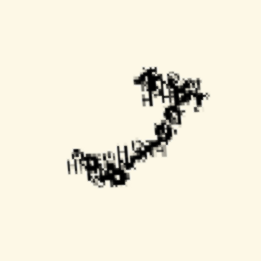 Cc1cc(C)c(CNC(=O)c2cc(-c3ccc(N4CCN(CCNC(=O)CCCNc5cccc6c5C(=O)N(C5CCC(=O)NC5=O)C6=O)CC4)nc3)cc3c2cnn3C(C)C)c(=O)[nH]1